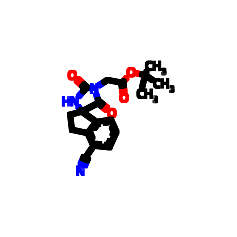 CC(C)(C)OC(=O)CN1C(=O)NC2(CCc3c(C#N)cccc32)C1=O